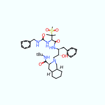 CC(C)(C)NC(=O)[C@@H]1C[C@@H]2CCCC[C@@H]2CN1C[C@@H](O)[C@H](Cc1ccccc1)NC(=O)[C@@H](NC(=O)NCc1ccccc1)C(C)(C)S(C)(=O)=O